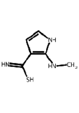 CNc1[nH]ccc1C(=N)S